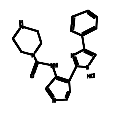 Cl.O=C(Nc1cnccc1-c1nc(-c2ccccc2)cs1)N1CCNCC1